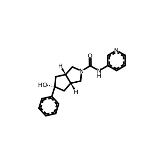 O=C(Nc1cccnc1)N1C[C@@H]2C[C@@](O)(c3ccccc3)C[C@@H]2C1